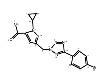 O=C(O)c1cc(Cn2nnc(-c3ccc(Br)cc3)n2)nn1C1CC1